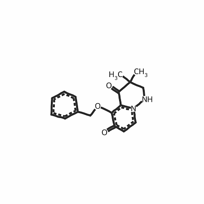 CC1(C)CNn2ccc(=O)c(OCc3ccccc3)c2C1=O